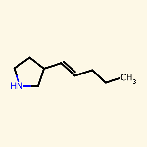 CCCC=CC1CCNC1